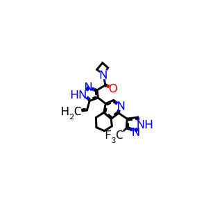 C=Cc1[nH]nc(C(=O)N2CCC2)c1-c1cnc(-c2c[nH]nc2C(F)(F)F)c2c1CCCC2